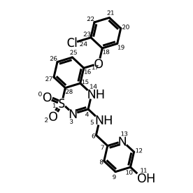 O=S1(=O)N=C(NCc2ccc(O)cn2)Nc2c(Oc3ccccc3Cl)cccc21